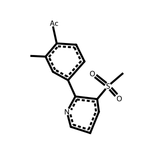 CC(=O)c1ccc(-c2ncccc2S(C)(=O)=O)cc1C